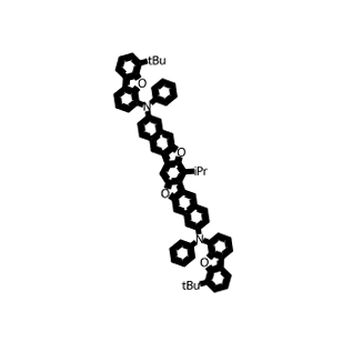 CC(C)c1c2oc3cc4cc(N(c5ccccc5)c5cccc6c5oc5c(C(C)(C)C)cccc56)ccc4cc3c2cc2oc3cc4cc(N(c5ccccc5)c5cccc6c5oc5c(C(C)(C)C)cccc56)ccc4cc3c12